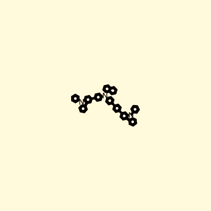 c1ccc(-n2c3ccccc3c3cc(-c4ccc(N(c5ccc(-c6ccc(-c7ccc8c9ccccc9n(-c9ccccc9)c8c7)cc6)cc5)c5cccc6ccccc56)cc4)ccc32)cc1